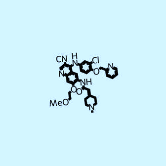 COCCOc1cc2ncc(C#N)c(Nc3ccc(OCc4ccccn4)c(Cl)c3)c2cc1NC(=O)C=C1CCN(C)CC1